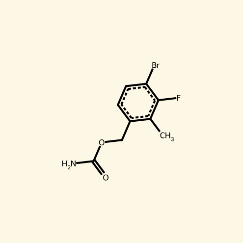 Cc1c(COC(N)=O)ccc(Br)c1F